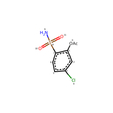 CC(=O)Oc1cc(Cl)ccc1S(N)(=O)=O